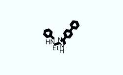 CCC(NCc1ccccc1)c1nc(-c2ccc(-c3ccccc3)cc2)c[nH]1